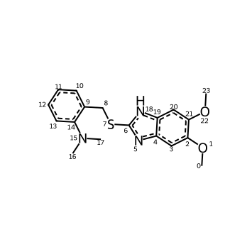 COc1cc2nc(SCc3ccccc3N(C)C)[nH]c2cc1OC